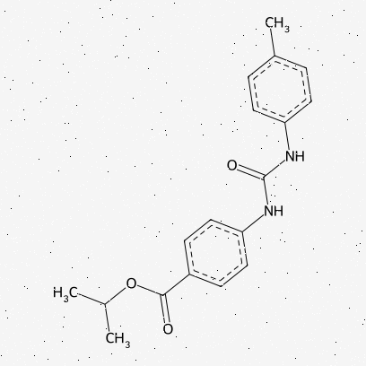 Cc1ccc(NC(=O)Nc2ccc(C(=O)OC(C)C)cc2)cc1